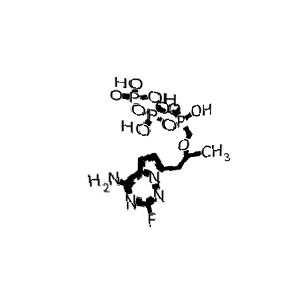 CC(Cc1ccc2c(N)nc(F)nn12)OCP(=O)(O)OP(=O)(O)OP(=O)(O)O